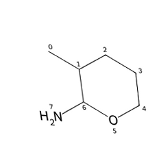 CC1CCCOC1N